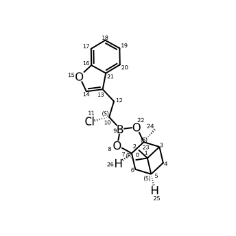 CC1(C)C2C[C@H]1C[C@H]1OB([C@H](Cl)Cc3coc4ccccc34)O[C@@]21C